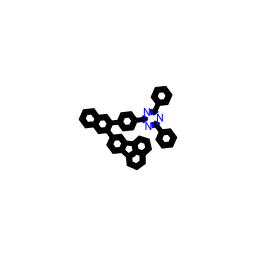 c1ccc(-c2nc(-c3ccccc3)nc(-c3ccc(-c4cc5ccccc5cc4-c4ccc5c(c4)-c4cccc6cccc-5c46)cc3)n2)cc1